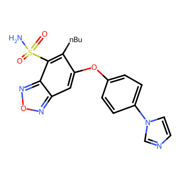 CCCCc1c(Oc2ccc(-n3ccnc3)cc2)cc2nonc2c1S(N)(=O)=O